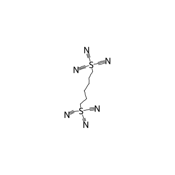 N#CS(C#N)(C#N)CCCCCCS(C#N)(C#N)C#N